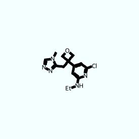 CCNc1cc(C2(Cc3nncn3C)COC2)cc(Cl)n1